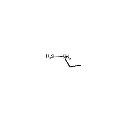 C[CH][SiH2][SiH3]